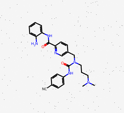 CN(C)CCCN(Cc1ccc(C(=O)Nc2ccccc2N)nc1)C(=O)Nc1ccc(C#N)cc1